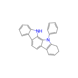 C1=Cc2c(n(-c3ccccc3)c3c2ccc2c4ccccc4[nH]c23)CC1